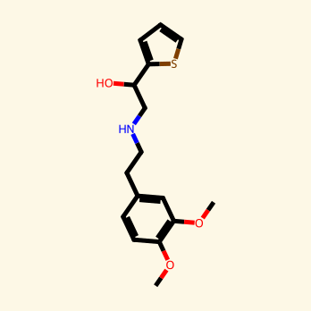 COc1ccc(CCNCC(O)c2cccs2)cc1OC